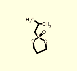 CC(C)CP1(=O)OCCCO1